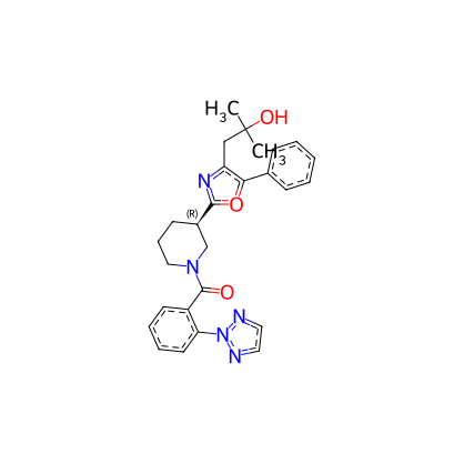 CC(C)(O)Cc1nc([C@@H]2CCCN(C(=O)c3ccccc3-n3nccn3)C2)oc1-c1ccccc1